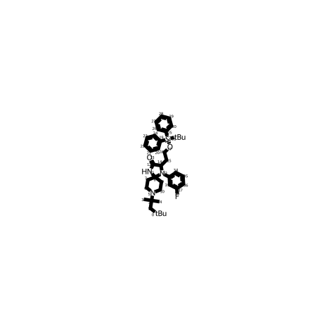 CC(C)(C)CC(C)(C)N1CCC2(CC1)NC(=O)C(CCO[Si](c1ccccc1)(c1ccccc1)C(C)(C)C)N2c1cccc(F)c1